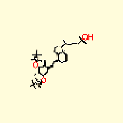 C=C1/C(=C\C=C2CCC[C@@]3(C)C2CC[C@@H]3[C@@H](C)CCCC(C)(C)O)C[C@@H](O[Si](C)(C)C(C)(C)C)[C@H](C)[C@H]1O[Si](C)(C)C(C)(C)C